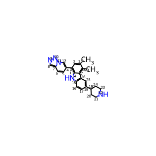 Cc1cc(-c2ccc3cnnn3c2)c2[nH]c3ccc(C4CCNCC4)cc3c2c1C